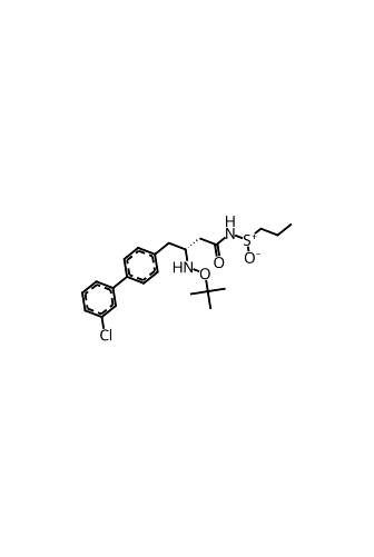 CCC[S+]([O-])NC(=O)C[C@@H](Cc1ccc(-c2cccc(Cl)c2)cc1)NOC(C)(C)C